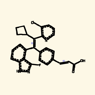 O=C(O)/C=C/c1ccc(/C(=C(\c2ncccc2Cl)C2CCC2)c2cccc3[nH]nc(F)c23)cc1